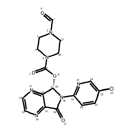 O=CN1CCN(C(=O)O[C@H]2c3nccnc3C(=O)N2c2ccc(Cl)cn2)CC1